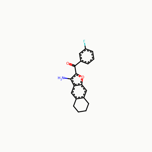 Nc1c(C(=O)c2cccc(F)c2)oc2cc3c(cc12)CCCC3